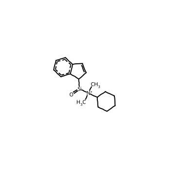 C[N+](C)(C1CCCCC1)[Si](=O)C1C=Cc2ccccc21